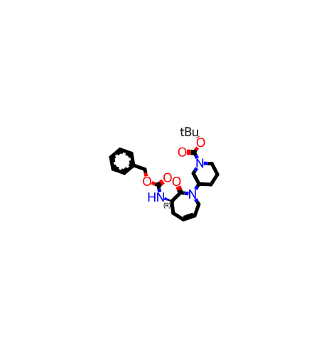 CC(C)(C)OC(=O)N1CCCC(N2CC=CC[C@@H](NC(=O)OCc3ccccc3)C2=O)C1